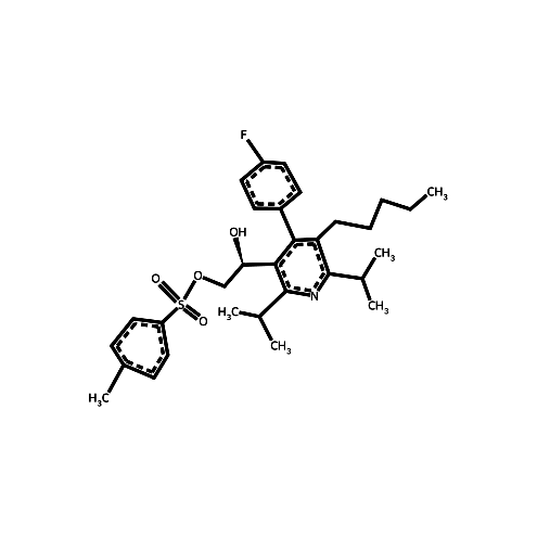 CCCCCc1c(C(C)C)nc(C(C)C)c([C@H](O)COS(=O)(=O)c2ccc(C)cc2)c1-c1ccc(F)cc1